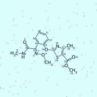 CNC(=O)/C(=N/OC)c1ccccc1Oc1nc(C)c(C(=O)OC)s1